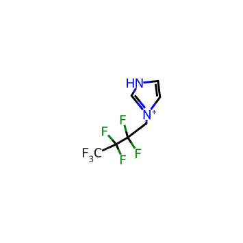 FC(F)(F)C(F)(F)C(F)(F)C[n+]1cc[nH]c1